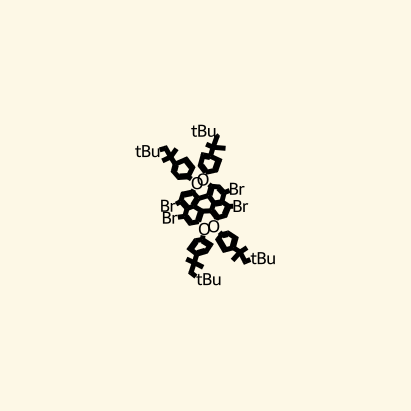 CC(C)(C)CC(C)(C)c1ccc(Oc2cc(Br)c3c(Br)cc(Oc4ccc(C(C)(C)CC(C)(C)C)cc4)c4c5c(Oc6ccc(C(C)(C)CC(C)(C)C)cc6)cc(Br)c6c(Br)cc(Oc7ccc(C(C)(C)CC(C)(C)C)cc7)c(c2c34)c65)cc1